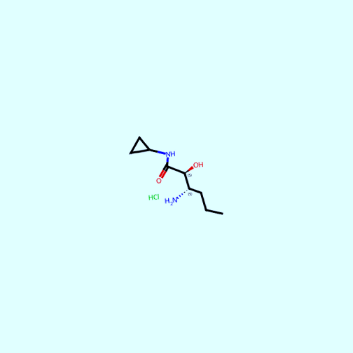 CCC[C@H](N)[C@H](O)C(=O)NC1CC1.Cl